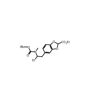 CCOC(=O)C1Oc2ccc(CC(CC)N(C)C(=O)OC(C)(C)C)cc2O1